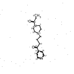 CCC(=O)N1CCN(CCCC(=O)c2ccncc2)CC1